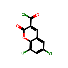 O=C(Cl)c1cc2cc(Cl)cc(Cl)c2oc1=O